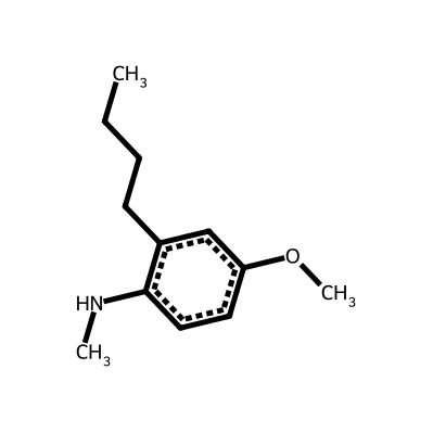 CCCCc1cc(OC)ccc1NC